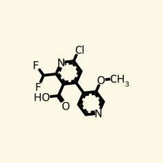 COc1cnccc1-c1cc(Cl)nc(C(F)F)c1C(=O)O